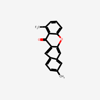 Cc1ccc2cc3c(=O)c4c(C(F)(F)F)cccc4oc3cc2c1